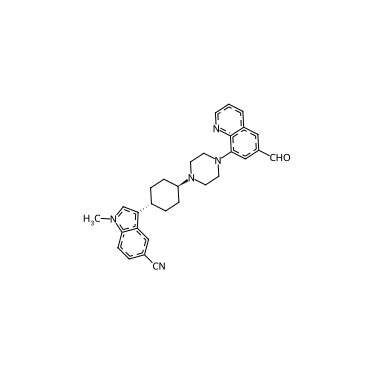 Cn1cc([C@H]2CC[C@H](N3CCN(c4cc(C=O)cc5cccnc45)CC3)CC2)c2cc(C#N)ccc21